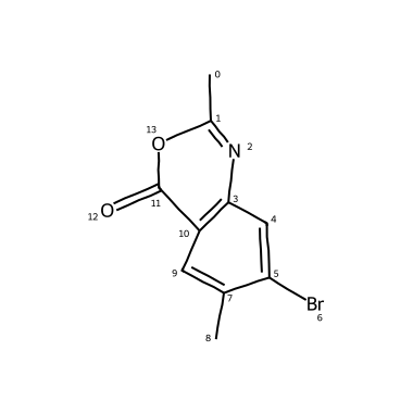 Cc1nc2cc(Br)c(C)cc2c(=O)o1